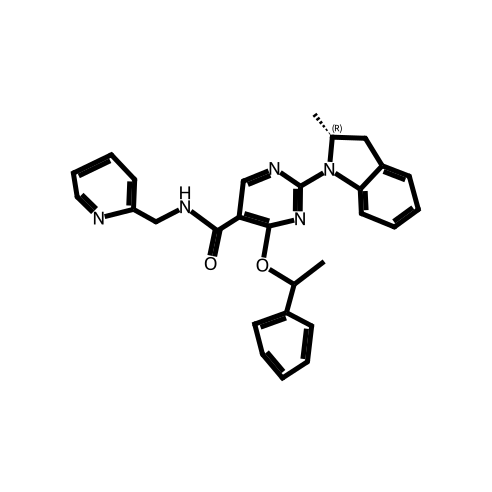 CC(Oc1nc(N2c3ccccc3C[C@H]2C)ncc1C(=O)NCc1ccccn1)c1ccccc1